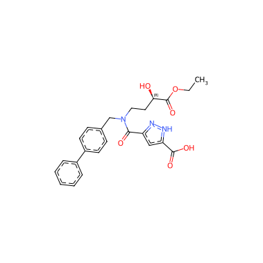 CCOC(=O)[C@H](O)CCN(Cc1ccc(-c2ccccc2)cc1)C(=O)c1cc(C(=O)O)[nH]n1